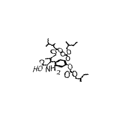 CCC(C)COC(=O)Oc1ccc(C(C(C)COC(=O)C(C)C(C)C)[C@H](N)C(=O)O)cc1OC(=O)OCC(C)CC